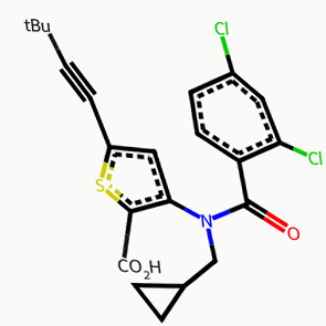 CC(C)(C)C#Cc1cc(N(CC2CC2)C(=O)c2ccc(Cl)cc2Cl)c(C(=O)O)s1